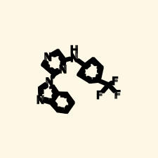 FC(F)(F)c1ccc(Nc2cncc(-n3cnc4ccccc43)n2)cc1